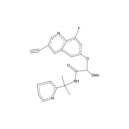 C#Cc1cnc2c(F)cc(OC(SC)C(=O)NC(C)(C)c3ccccn3)cc2c1